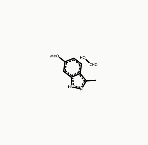 COc1ccc2c(C)n[nH]c2c1.O=CO